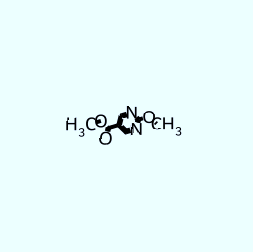 COC(=O)c1cnc(OC)nc1